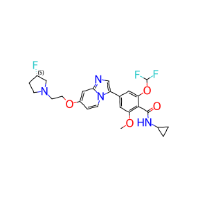 COc1cc(-c2cnc3cc(OCCN4CC[C@H](F)C4)ccn23)cc(OC(F)F)c1C(=O)NC1CC1